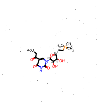 C=P(C)(C)CC[C@H]1O[C@@H](n2cc(C(=O)COC(C)=O)c(=O)[nH]c2=O)[C@H](O)[C@@H]1O